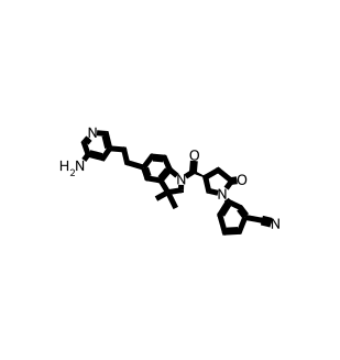 CC1(C)CN(C(=O)[C@H]2CC(=O)N(c3cccc(C#N)c3)C2)c2ccc(CCc3cncc(N)c3)cc21